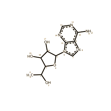 CC(O)C1OC(n2cnc3c(N)ncnc32)C(O)C1O